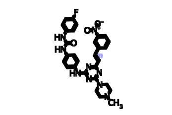 CN1CCN(c2nc(/C=C/c3cccc([N+](=O)[O-])c3)nc(Nc3ccc(NC(=O)Nc4ccc(F)cc4)cc3)n2)CC1